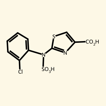 O=C(O)c1csc(N(c2ccccc2Cl)S(=O)(=O)O)n1